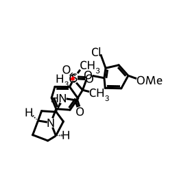 COc1ccc(OC(C)(C)C(=O)N[C@H]2C[C@H]3CC[C@@H](C2)N3c2ccc(S(C)(=O)=O)cc2)c(Cl)c1